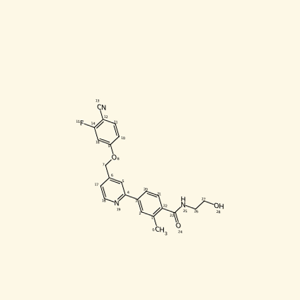 Cc1cc(-c2cc(COc3ccc(C#N)c(F)c3)ccn2)ccc1C(=O)NCCO